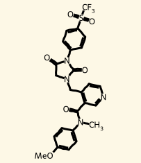 COc1ccc(N(C)C(=O)c2cnccc2CN2CC(=O)N(c3ccc(S(=O)(=O)C(F)(F)F)cc3)C2=O)cc1